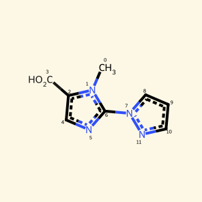 Cn1c(C(=O)O)cnc1-n1cccn1